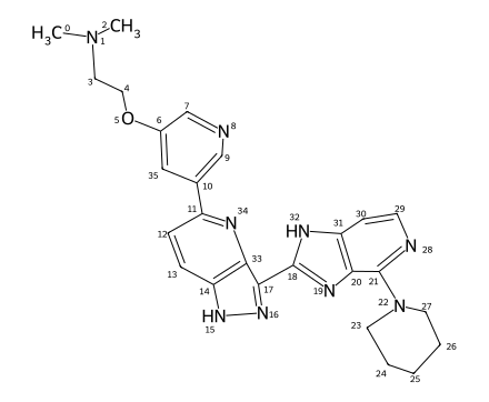 CN(C)CCOc1cncc(-c2ccc3[nH]nc(-c4nc5c(N6CCCCC6)nccc5[nH]4)c3n2)c1